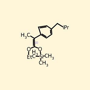 CCO/C(O[Si](C)(C)C)=C(\C)c1ccc(CC(C)C)cc1